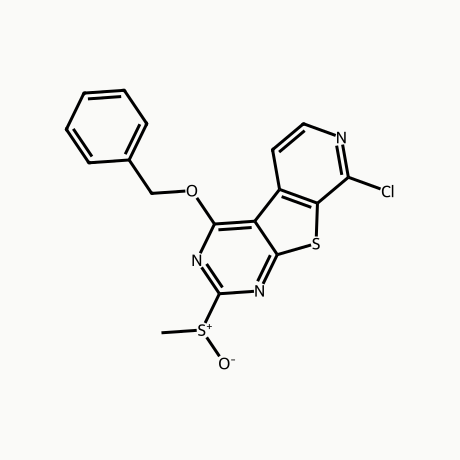 C[S+]([O-])c1nc(OCc2ccccc2)c2c(n1)sc1c(Cl)nccc12